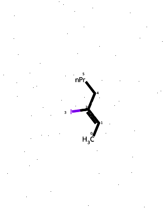 CC=C(I)CCCC